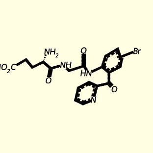 N[C@@H](CCC(=O)O)C(=O)NCC(=O)Nc1ccc(Br)cc1C(=O)c1ccccn1